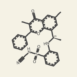 Cc1cc([C@@H](C)Nc2ccccc2S(=O)(=O)NC#N)c2oc(-c3ccccc3)c(C)c(=O)c2c1